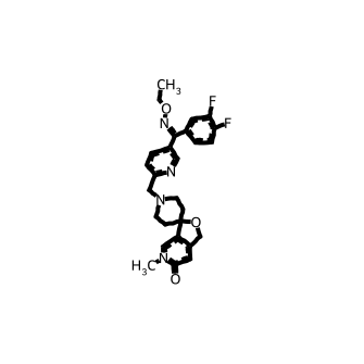 CCO/N=C(/c1ccc(CN2CCC3(CC2)OCc2cc(=O)n(C)cc23)nc1)c1ccc(F)c(F)c1